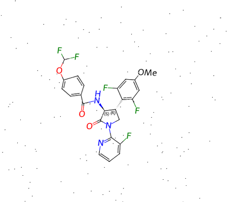 COc1cc(F)c([C@@H]2CN(c3ncccc3F)C(=O)[C@H]2NC(=O)c2ccc(OC(F)F)cc2)c(F)c1